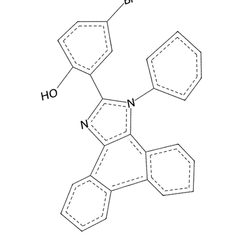 Oc1ccc(Br)cc1-c1nc2c3ccccc3c3ccccc3c2n1-c1ccccc1